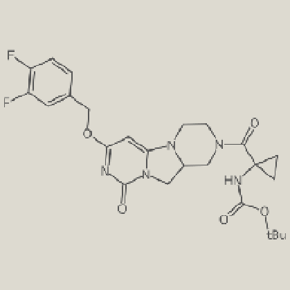 CC(C)(C)OC(=O)NC1(C(=O)N2CCN3c4cc(OCc5ccc(F)c(F)c5)nc(=O)n4CC3C2)CC1